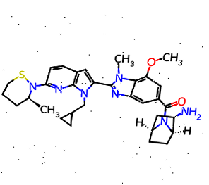 COc1cc(C(=O)N2[C@H]3CC[C@@H]2[C@H](N)C3)cc2nc(-c3cc4ccc(N5SCCC[C@@H]5C)nc4n3CC3CC3)n(C)c12